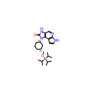 CC(C)[Si](OC[C@@H]1CCC[C@H](n2c(=O)[nH]c3cnc4[nH]ccc4c32)C1)(C(C)C)C(C)C